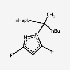 CCCCCCCC(C)(CCCC)n1nc(F)cc1F